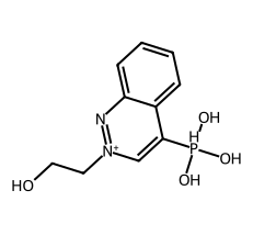 OCC[n+]1cc([PH](O)(O)O)c2ccccc2n1